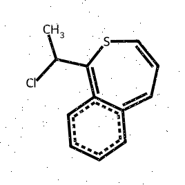 CC(Cl)C1=c2ccccc2=CC=CS1